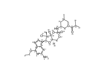 CCOc1nc(N)nc2c1ncn2[C@@H]1O[C@@H]2COP(=O)(NC(COC(=O)C(C)C)CC(C)C)O[C@H]2[C@@]1(C)Cl